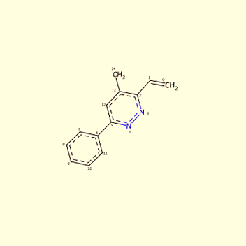 C=Cc1nnc(-c2ccccc2)cc1C